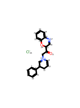 O=C(C[N+]1=CC(c2ccccc2)CC=C1)C1C=Nc2ccccc2O1.[Cl-]